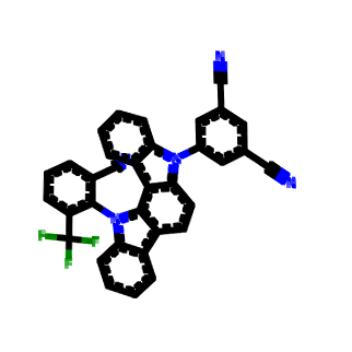 N#Cc1cc(C#N)cc(-n2c3ccccc3c3c2ccc2c4ccccc4n(-c4c(C#N)cccc4C(F)(F)F)c23)c1